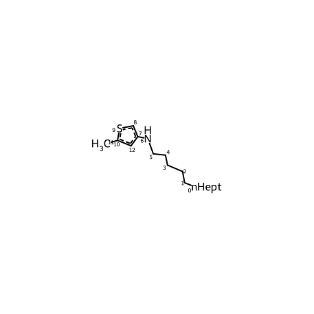 CCCCCCCCCCCCNc1csc(C)c1